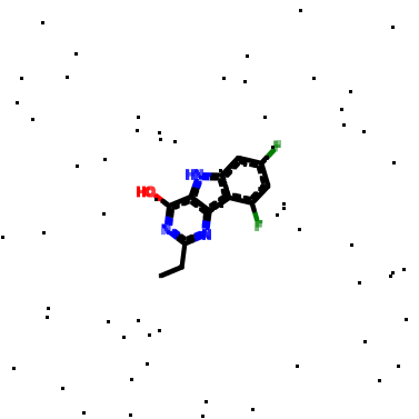 CCc1nc(O)c2[nH]c3cc(F)cc(F)c3c2n1